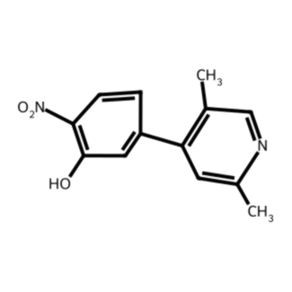 Cc1cc(-c2ccc([N+](=O)[O-])c(O)c2)c(C)cn1